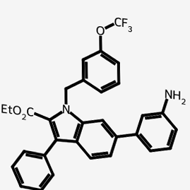 CCOC(=O)c1c(-c2ccccc2)c2ccc(-c3cccc(N)c3)cc2n1Cc1cccc(OC(F)(F)F)c1